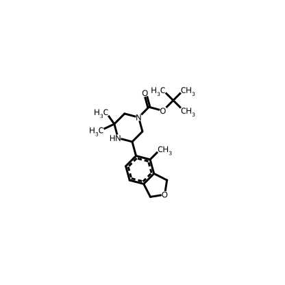 Cc1c(C2CN(C(=O)OC(C)(C)C)CC(C)(C)N2)ccc2c1COC2